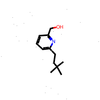 CC(C)(C)[CH]Cc1cccc(CO)n1